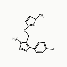 CC1C=CC(OCc2c(-c3ccc(F)cc3)nnn2C)=N1